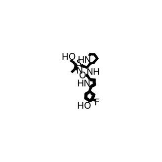 Cc1nc(C(NC(=O)c2ccc(-c3ccc(O)c(F)c3)[nH]2)C2CCCCN2)sc1CO